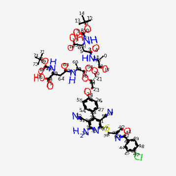 C[C@H](NC(=O)C[C@H](NC(=O)OC(C)(C)C)C(=O)O)C(=O)OC[C@H](COc1ccc(-c2c(C#N)c(N)nc(SCc3coc(-c4ccc(Cl)cc4)n3)c2C#N)cc1)OC(=O)[C@H](C)NC(=O)C[C@H](NC(=O)OC(C)(C)C)C(=O)O